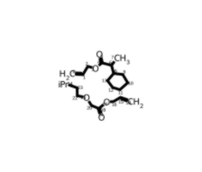 C=CCOC(=O)C(C)C1CCCCC1.C=CCOC(=O)COCCC(C)C